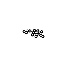 c1ccc2c(c1)-c1ccccc1C21c2cc3ccccc3cc2-c2c1cc(-c1c3ccccc3c(-c3ccc4oc5c6ccccc6ccc5c4c3)c3ccccc13)c1ccccc21